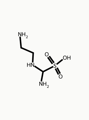 NCCNC(N)S(=O)(=O)O